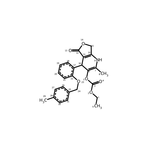 CCOC(=O)OC1=C(C)NC2=C(C(=O)OC2)C1c1ccccc1OCc1ccc(C)cc1